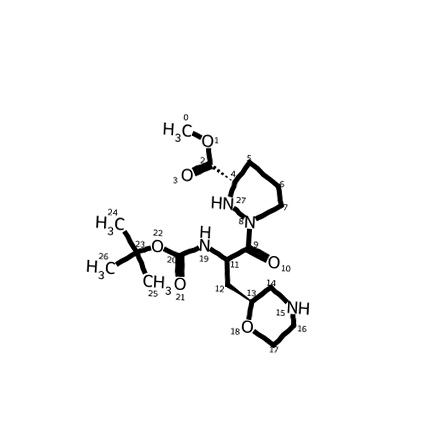 COC(=O)[C@@H]1CCCN(C(=O)C(C[C@H]2CNCCO2)NC(=O)OC(C)(C)C)N1